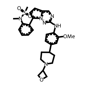 COc1cc(C2CCN(C3COC3)CC2)ccc1Nc1ncc2ccc(-c3ccccc3N(C)S(C)(=O)=O)n2n1